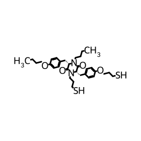 CCCCOc1ccc(C[C@H]2C(=O)N(CCCS)[C@@H](Cc3ccc(OCCCS)cc3)C(=O)N2CCCC)cc1